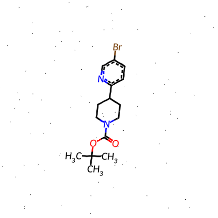 CC(C)(C)OC(=O)N1CCC(c2ccc(Br)cn2)CC1